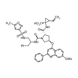 C=C[C@@H]1C[C@]1(NC(=O)[C@@H]1C[C@@H](Oc2cc(-c3ccccc3)nc3cc(OC)ccc23)CN1C(=O)NC(CNS(=O)(=O)c1cc(C)on1)CC(C)C)C(=O)O